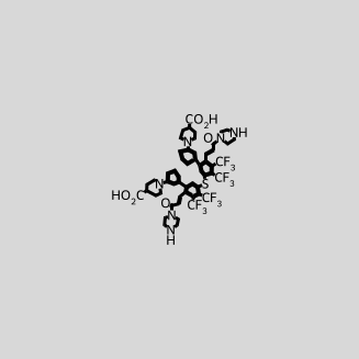 O=C(O)C1CCN(c2cccc(-c3cc(Sc4cc(-c5cccc(N6CCC(C(=O)O)CC6)c5)c(/C=C/C(=O)N5CCNCC5)c(C(F)(F)F)c4C(F)(F)F)c(C(F)(F)F)c(C(F)(F)F)c3/C=C/C(=O)N3CCNCC3)c2)CC1